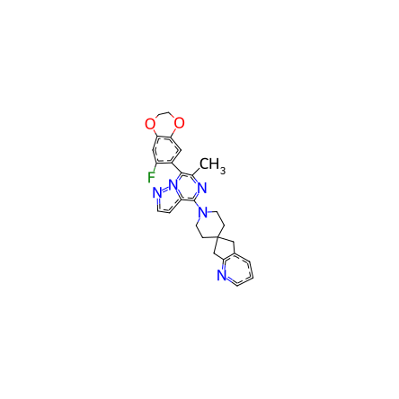 Cc1nc(N2CCC3(CC2)Cc2cccnc2C3)c2ccnn2c1-c1cc2c(cc1F)OCCO2